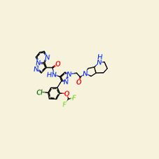 O=C(Nc1cn(CC(=O)N2CC3CCCNC3C2)nc1-c1cc(Cl)ccc1OC(F)F)c1cnn2cccnc12